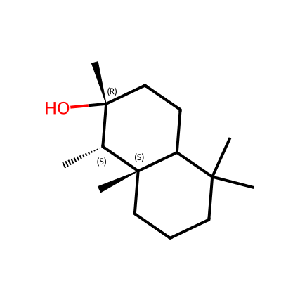 C[C@H]1[C@@]2(C)CCCC(C)(C)C2CC[C@@]1(C)O